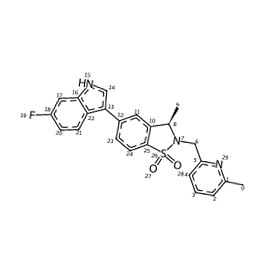 Cc1cccc(CN2[C@H](C)c3cc(-c4c[nH]c5cc(F)ccc45)ccc3S2(=O)=O)n1